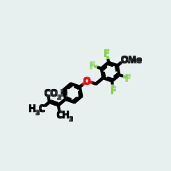 COc1c(F)c(F)c(COc2ccc(/C(C)=C(/C)C(=O)O)cc2)c(F)c1F